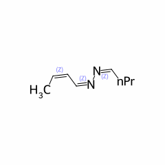 C\C=C/C=N\N=C/CCC